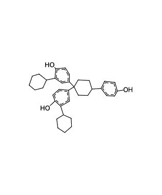 Oc1ccc(C2CCC(c3ccc(O)c(C4CCCCC4)c3)(c3ccc(O)c(C4CCCCC4)c3)CC2)cc1